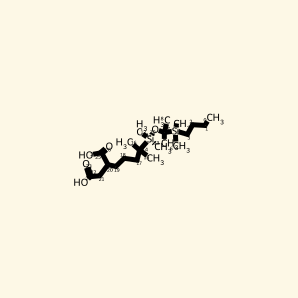 CCCC[Si](C)(C)C(C)(C)O[Si](C)(C)C(C)(C)CCCC(CC(=O)O)C(=O)O